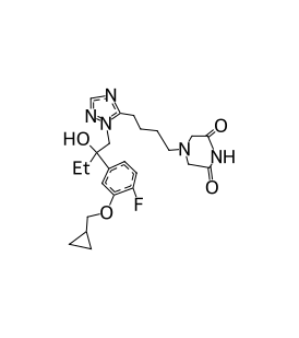 CCC(O)(Cn1ncnc1CCCCN1CC(=O)NC(=O)C1)c1ccc(F)c(OCC2CC2)c1